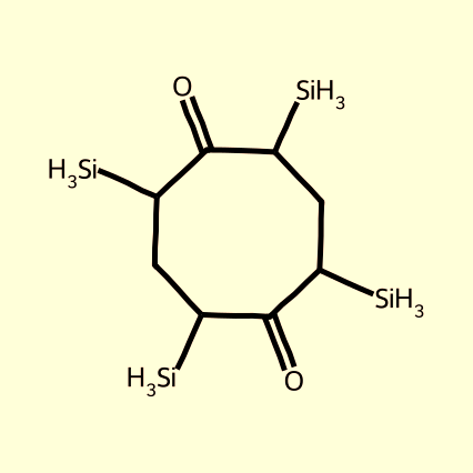 O=C1C([SiH3])CC([SiH3])C(=O)C([SiH3])CC1[SiH3]